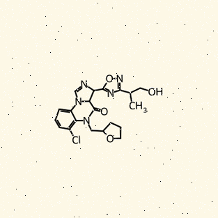 CC(CO)c1noc(C2N=CN3c4cccc(Cl)c4N(CC4CCCO4)C(=O)C23)n1